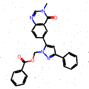 Cn1cnc2ccc(-c3cc(-c4ccccc4)nn3COC(=O)c3ccccc3)cc2c1=O